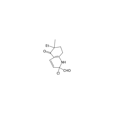 CCC1(C)CCC2=C(C=CC(Cl)(C=O)N2)C1=O